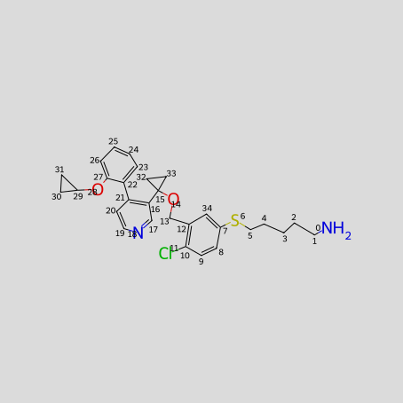 NCCCCCSc1ccc(Cl)c(COC2(c3cnccc3-c3ccccc3OC3CC3)CC2)c1